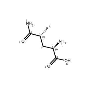 NC(=O)[C@H](F)C[C@@H](N)C(=O)O